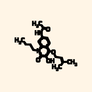 CCCCn1c(=O)c(O)c(OCC=C(C)C)c2ccc(NC(C)=O)cc21